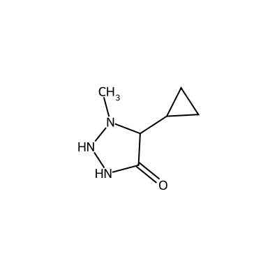 CN1NNC(=O)C1C1CC1